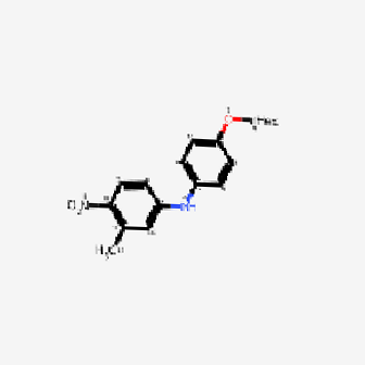 CCCCCCOc1ccc(Nc2ccc([N+](=O)[O-])c(C)c2)cc1